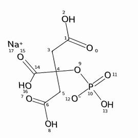 O=C(O)CC(CC(=O)O)(OP(=O)([O-])O)C(=O)O.[Na+]